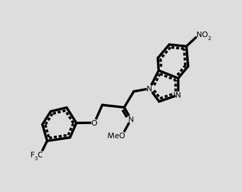 CON=C(COc1cccc(C(F)(F)F)c1)Cn1cnc2cc([N+](=O)[O-])ccc21